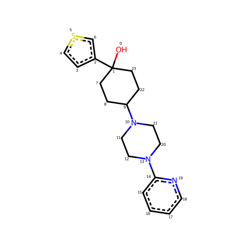 OC1(c2ccsc2)CCC(N2CCN(c3ccccn3)CC2)CC1